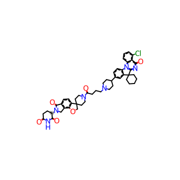 O=C1CC[C@H](N2Cc3c(ccc4c3OCC43CCN(C(=O)CCCN4CCC(c5ccc6c(c5)C5(CCCCC5)c5nc(=O)c7c(Cl)cccc7n5-6)CC4)CC3)C2=O)C(=O)N1